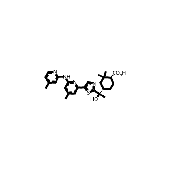 Cc1ccnc(Nc2cc(C)cc(-c3cnc(C(C)(O)[C@H]4CC[C@H](C(=O)O)C(C)(C)C4)s3)n2)c1